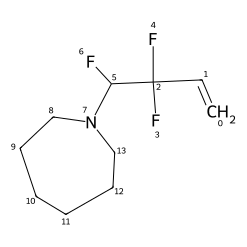 C=CC(F)(F)C(F)N1CCCCCC1